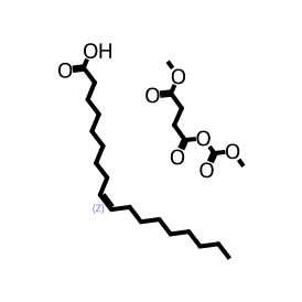 CCCCCCCC/C=C\CCCCCCCC(=O)O.COC(=O)CCC(=O)OC(=O)OC